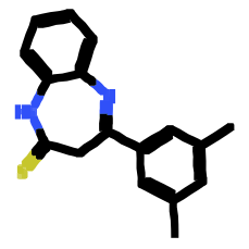 Cc1cc(C)cc(C2=Nc3ccccc3NC(=S)C2)c1